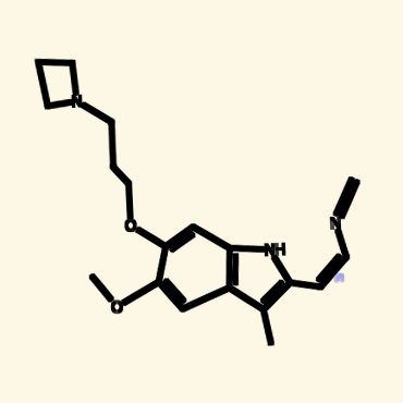 C=N/C=C\c1[nH]c2cc(OCCCN3CCC3)c(OC)cc2c1C